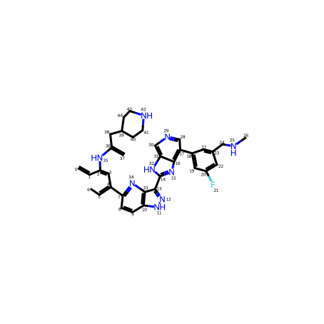 C=C/C(=C\C(=C/C)c1ccc2[nH]nc(-c3nc4c(-c5cc(F)cc(CNC)c5)cncc4[nH]3)c2n1)NC(=C)CC1CCNCC1